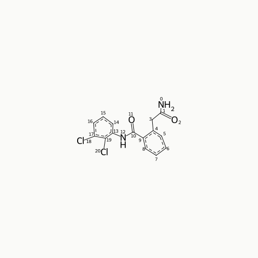 NC(=O)Cc1ccccc1C(=O)Nc1cccc(Cl)c1Cl